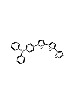 c1ccc(N(c2ccccc2)c2ccc(-c3ccc(-c4ccc(-c5cccs5)s4)s3)cc2)cc1